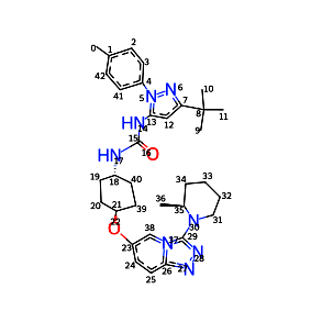 Cc1ccc(-n2nc(C(C)(C)C)cc2NC(=O)N[C@H]2CC[C@H](Oc3ccc4nnc(N5CCCC[C@@H]5C)n4c3)CC2)cc1